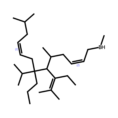 CBC/C=C\CC(C)C(C(CC)=C(C)C)C(C/C=C\CC(C)C)(CCC)C(C)C